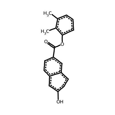 Cc1cccc(OC(=O)c2ccc3cc(O)ccc3c2)c1C